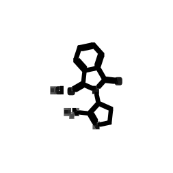 Cl.NC1=NCCC1N1C(=O)c2ccccc2C1=O